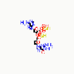 Nc1nc2c(ncn2[C@H]2CC[C@@H](COP(=O)(S)O[C@H]3C[C@H](n4cnc5c(N)ncnc54)O[C@@H]3COP(=O)(O)S)O2)c(=O)[nH]1